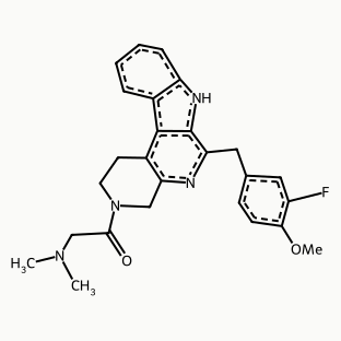 COc1ccc(Cc2nc3c(c4c2[nH]c2ccccc24)CCN(C(=O)CN(C)C)C3)cc1F